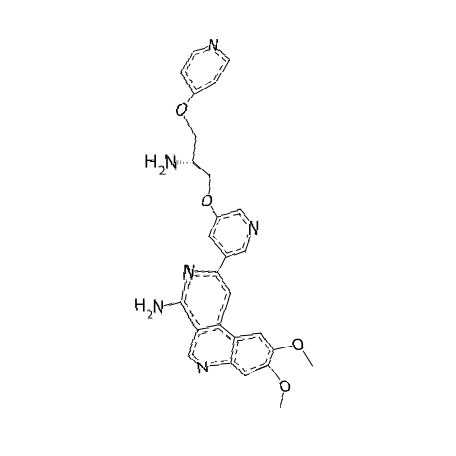 COc1cc2ncc3c(N)nc(-c4cncc(OC[C@H](N)COc5ccncc5)c4)cc3c2cc1OC